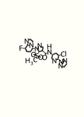 CS(=O)(=O)c1c(C(=O)Nc2cnc(-n3nccn3)c(Cl)c2)cnn1-c1ccc(F)c2nccn12